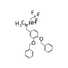 C[C@H](Cc1ccc(OCc2ccccc2)c(OCc2ccccc2)c1)NCC(F)(F)F